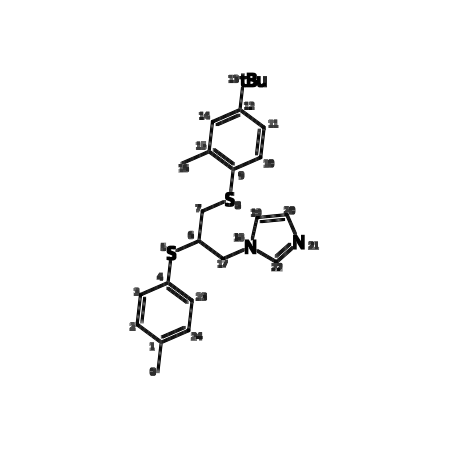 Cc1ccc(SC(CSc2ccc(C(C)(C)C)cc2C)Cn2ccnc2)cc1